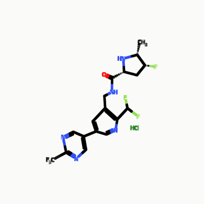 C[C@H]1N[C@@H](C(=O)NCc2cc(-c3cnc(C(F)(F)F)nc3)cnc2C(F)F)C[C@H]1F.Cl